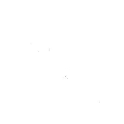 Cc1cc(C(=O)Nc2ccc(Br)cc2Cl)c(C)n1-c1ccccc1C(F)(F)F